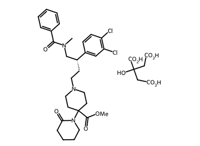 COC(=O)C1(N2CCCCC2=O)CCN(CC[C@H](CN(C)C(=O)c2ccccc2)c2ccc(Cl)c(Cl)c2)CC1.O=C(O)CC(O)(CC(=O)O)C(=O)O